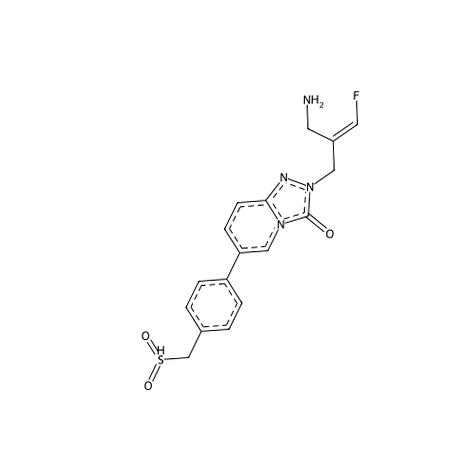 NC/C(=C\F)Cn1nc2ccc(-c3ccc(C[SH](=O)=O)cc3)cn2c1=O